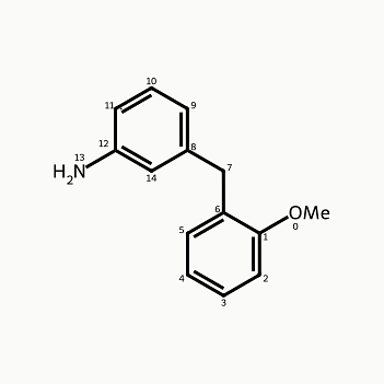 COc1ccccc1Cc1cc[c]c(N)c1